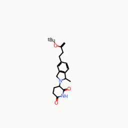 C=C(CCc1ccc2c(c1)CN(C1CCC(=O)NC1=O)C2C)OC(C)(C)C